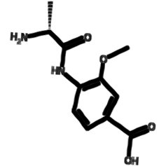 COc1cc(C(=O)O)ccc1NC(=O)[C@@H](C)N